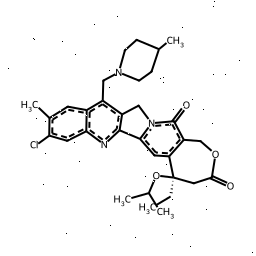 CC[C@@]1(OC(C)C)CC(=O)OCc2c1cc1n(c2=O)Cc2c-1nc1cc(Cl)c(C)cc1c2CN1CCC(C)CC1